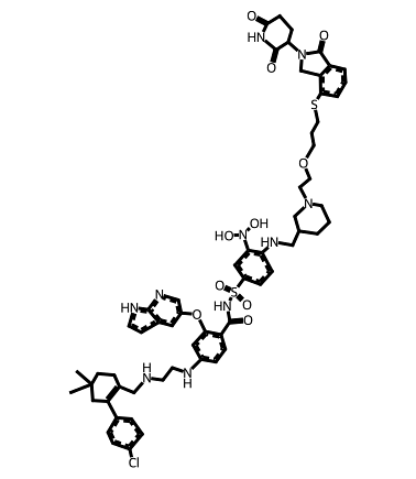 CC1(C)CCC(CNCCNc2ccc(C(=O)NS(=O)(=O)c3ccc(NCC4CCCN(CCOCCCSc5cccc6c5CN(C5CCC(=O)NC5=O)C6=O)C4)c(N(O)O)c3)c(Oc3cnc4[nH]ccc4c3)c2)=C(c2ccc(Cl)cc2)C1